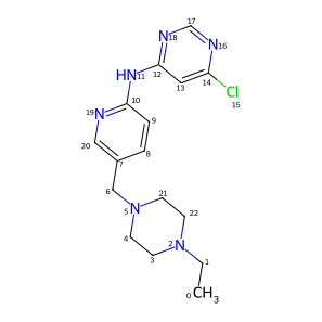 CCN1CCN(Cc2ccc(Nc3cc(Cl)ncn3)nc2)CC1